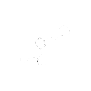 CO[C@@H](CN)Cc1cccc(OCC2CCCCC2)c1